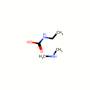 CCNC(=O)O.CNC